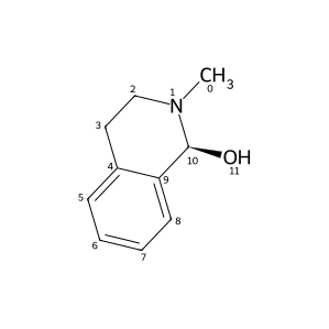 CN1CCc2ccccc2[C@@H]1O